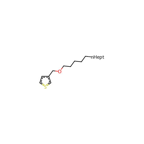 CCCCCCCCCCCCOCc1ccsc1